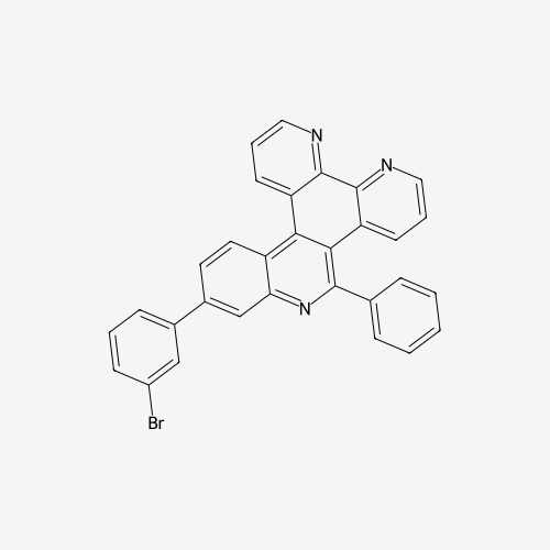 Brc1cccc(-c2ccc3c(c2)nc(-c2ccccc2)c2c4cccnc4c4ncccc4c32)c1